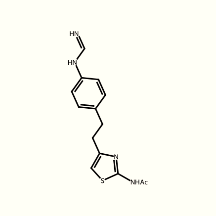 CC(=O)Nc1nc(CCc2ccc(NC=N)cc2)cs1